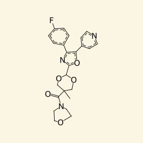 CC1(C(=O)N2CCOCC2)COC(c2nc(-c3ccc(F)cc3)c(-c3ccncc3)o2)OC1